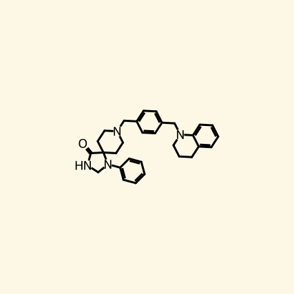 O=C1NCN(c2ccccc2)C12CCN(Cc1ccc(CN3CCCc4ccccc43)cc1)CC2